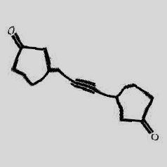 O=C1CCC(C#CC2CCC(=O)C2)C1